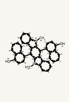 Cn1c2ccccc2c2c(-c3ccc(O)c4ccccc34)c3c(c(-c4ccc(O)c5ccccc45)c21)c1ccccc1n3C